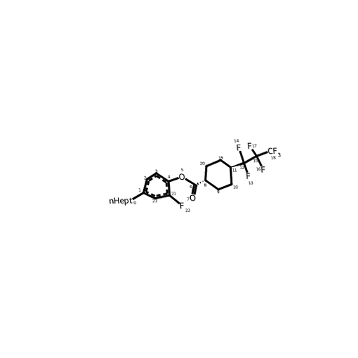 CCCCCCCc1ccc(OC(=O)[C@H]2CC[C@H](C(F)(F)C(F)(F)C(F)(F)F)CC2)c(F)c1